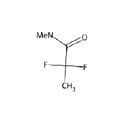 CNC(=O)C(C)(F)F